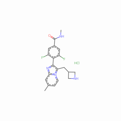 CNC(=O)c1cc(F)c(-c2nc3cc(C)ccn3c2CC2CNC2)c(F)c1.Cl